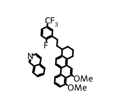 COc1cccc2c1c(OC)cc1c3c(ccc12)C(CCc1cc(C(F)(F)F)ccc1F)CCC3.c1ccc2cnccc2c1